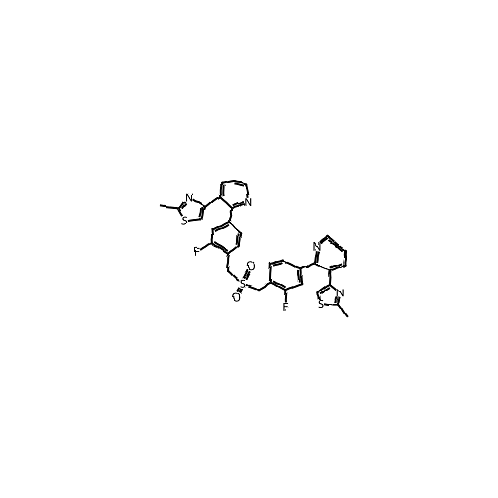 Cc1nc(-c2cccnc2-c2ccc(CS(=O)(=O)Cc3ccc(-c4ncccc4-c4csc(C)n4)cc3F)c(F)c2)cs1